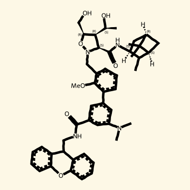 COc1c(CN2O[C@@H](CO)[C@@H]([C@H](C)O)[C@H]2C(=O)N[C@H]2C[C@H]3C[C@@H](C2C)C3(C)C)cccc1-c1cc(C(=O)NCC2c3ccccc3Oc3ccccc32)cc(N(C)C)c1